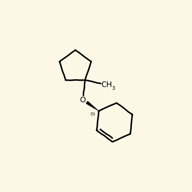 CC1(O[C@@H]2C=CCCC2)CCCC1